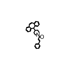 O=C(C=Cc1ccccc1)N1CCC(C2c3ccccc3C=Cc3ccccc32)CC1